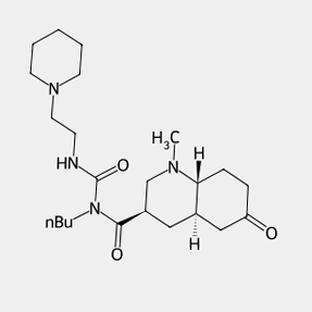 CCCCN(C(=O)NCCN1CCCCC1)C(=O)[C@@H]1C[C@@H]2CC(=O)CC[C@H]2N(C)C1